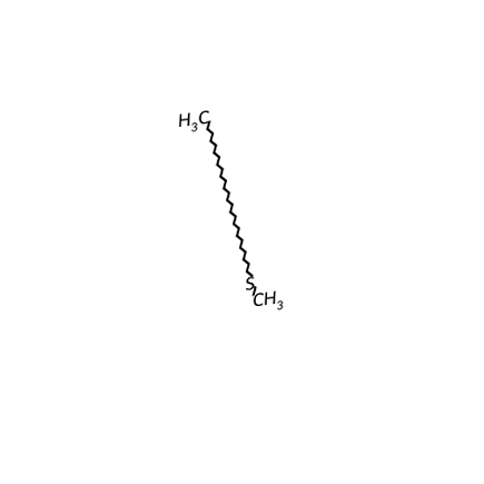 CCCCCCCCCCCCCCCCCCCCCCCCCCCCSCCC